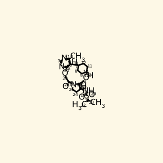 Cc1ncnc2c1[C@H]1CC[C@H](CC1)OC[C@H]1[C@@H](NS(=O)(=O)C(C)C)CCN1C(=O)CO2